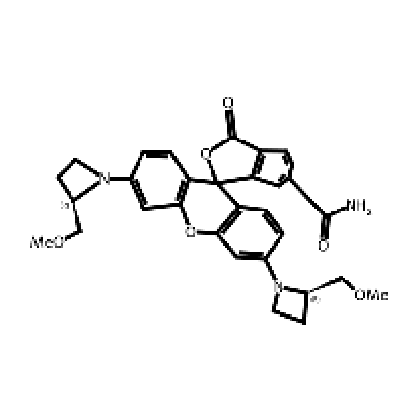 COC[C@H]1CCN1c1ccc2c(c1)Oc1cc(N3CC[C@@H]3COC)ccc1C21OC(=O)c2ccc(C(N)=O)cc21